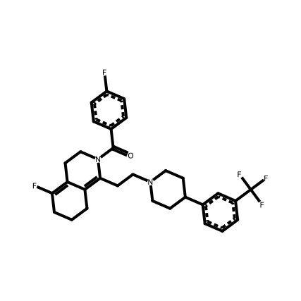 O=C(c1ccc(F)cc1)N1CCC2=C(F)CCCC2=C1CCN1CCC(c2cccc(C(F)(F)F)c2)CC1